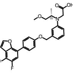 COC[C@H](C)N(CC(=O)O)c1cccc(COc2ccc(-c3cc(F)c(F)c4ccoc34)cc2)c1